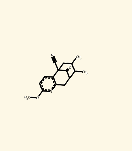 COc1ccc2c(n1)CC1C(=O)C2(C#N)CC(C)C1C